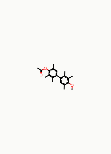 COc1c(C)cc(-c2cc(C)c(OC(C)=O)c(C)c2C)c(C)c1C